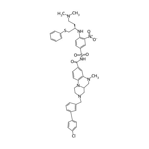 CN(C)CC[C@H](CSc1ccccc1)Nc1ccc(S(=O)(=O)NC(=O)c2ccc3c(c2)N(C)CC2CN(Cc4cccc(-c5ccc(Cl)cc5)c4)CCN32)cc1[N+](=O)[O-]